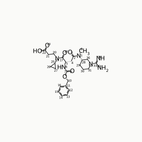 CN(C(=O)C[C@H](NC(=O)OCc1ccccc1)C(=O)N(CCC(=O)O)C1CC1)[C@H]1CCCN(C(=N)N)C1